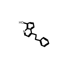 Oc1cccc2c(CCc3ccccc3)ccnc12